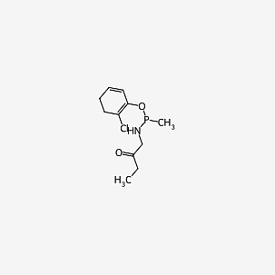 CCC(=O)CNP(C)OC1=C(Cl)CCC=C1